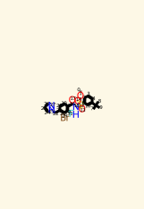 COc1ccc(C(C)(C)C)cc1S(=O)(=O)NC(=O)c1ccc(Cn2cccn2)c(Br)c1F